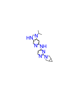 CC(C)N1CNc2cnc(Nc3ccnc(N4CC5CC5C4)n3)cc21